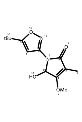 COC1=C(C)C(=O)N(c2cc(C(C)(C)C)on2)C1O